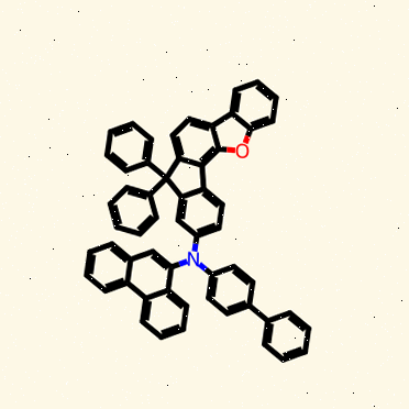 c1ccc(-c2ccc(N(c3ccc4c(c3)C(c3ccccc3)(c3ccccc3)c3ccc5c(oc6ccccc65)c3-4)c3cc4ccccc4c4ccccc34)cc2)cc1